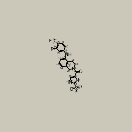 CS(=O)(=O)c1nc(C(=O)N2CCc3c(cccc3Nc3ccc(C(F)(F)F)c(F)c3)C2)c[nH]1